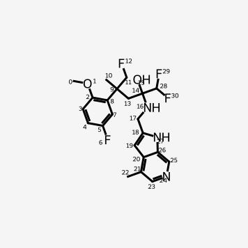 COc1ccc(F)cc1C(C)(CF)CC(O)(NCc1cc2c(C)cncc2[nH]1)C(F)F